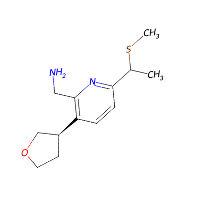 CSC(C)c1ccc([C@H]2CCOC2)c(CN)n1